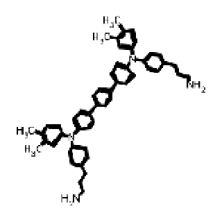 Cc1ccc(N(c2ccc(CCCN)cc2)c2ccc(-c3ccc(-c4ccc(N(c5ccc(CCCN)cc5)c5ccc(C)c(C)c5)cc4)cc3)cc2)cc1C